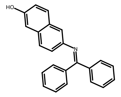 Oc1ccc2cc(N=C(c3ccccc3)c3ccccc3)ccc2c1